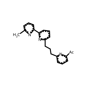 CC(=O)c1cccc(CCCc2cccc(-c3cccc(C)n3)n2)n1